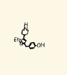 CCn1nc(Cc2ccc(O)cc2)cc1C1CCNCC1